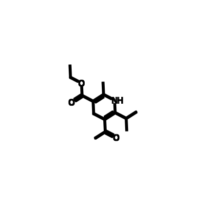 CCOC(=O)C1=C(C)NC(C(C)C)=C(C(C)=O)C1